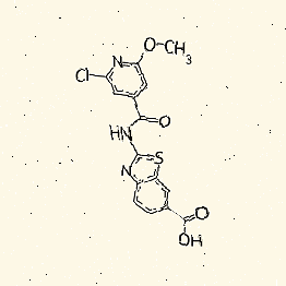 COc1cc(C(=O)Nc2nc3ccc(C(=O)O)cc3s2)cc(Cl)n1